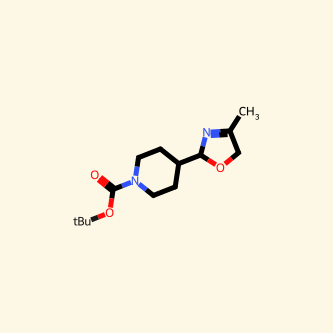 CC1=NC(C2CCN(C(=O)OC(C)(C)C)CC2)OC1